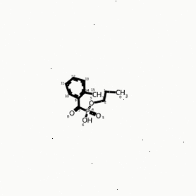 CCCOP(=O)(O)C(=O)c1ccccc1C